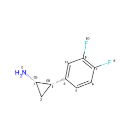 N[C@H]1C[C@H]1c1ccc(F)c(F)c1